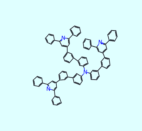 c1ccc(-c2cc(-c3cccc(-c4cccc(N(c5cccc(-c6cccc(-c7cc(-c8ccccc8)nc(-c8ccccc8)c7)c6)c5)c5cccc(-c6cccc(-c7cc(-c8ccccc8)nc(-c8ccccc8)c7)c6)c5)c4)c3)cc(-c3ccccc3)n2)cc1